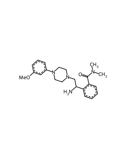 COc1cccc(N2CCN(CC(N)c3ccccc3C(=O)N(C)C)CC2)c1